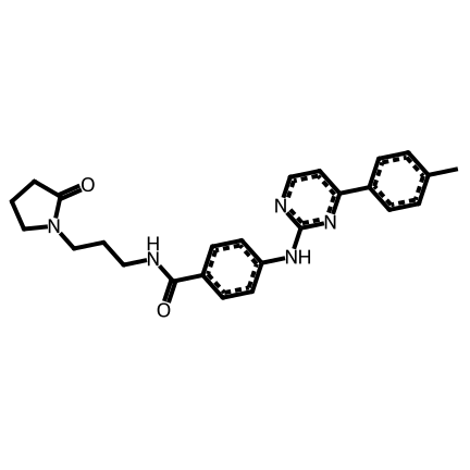 Cc1ccc(-c2ccnc(Nc3ccc(C(=O)NCCCN4CCCC4=O)cc3)n2)cc1